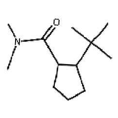 CN(C)C(=O)C1CCCC1C(C)(C)C